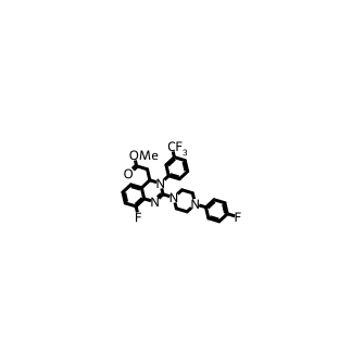 COC(=O)CC1c2cccc(F)c2N=C(N2CCN(c3ccc(F)cc3)CC2)N1c1cccc(C(F)(F)F)c1